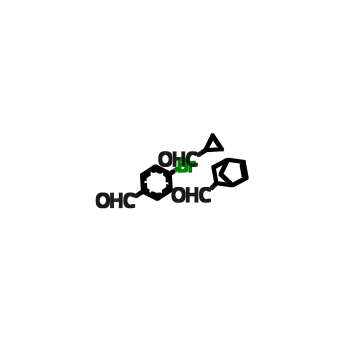 O=CC1CC1.O=CC1CC2C=CC1C2.O=Cc1ccc(Br)cc1